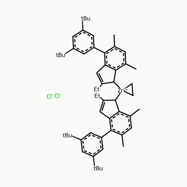 CCC1=Cc2c(-c3cc(C(C)(C)C)cc(C(C)(C)C)c3)c(C)cc(C)c2[CH]1[Zr+2]1([CH]2C(CC)=Cc3c(-c4cc(C(C)(C)C)cc(C(C)(C)C)c4)c(C)cc(C)c32)[CH2][CH2]1.[Cl-].[Cl-]